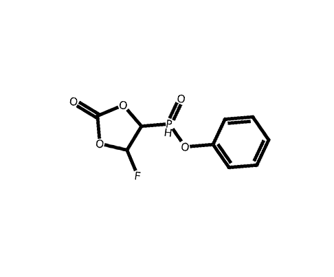 O=C1OC(F)C([PH](=O)Oc2ccccc2)O1